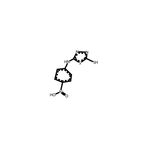 O=[N+](O)c1ccc(Nc2nnc(S)s2)cc1